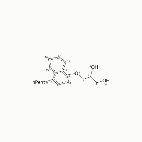 CCCCCc1ccc(OCC(O)CO)c2ccccc12